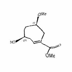 COC(=O)C1=C[C@@H](O)C[C@@H](OC)C1